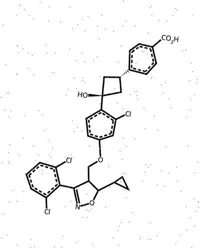 O=C(O)c1ccc([C@H]2C[C@@](O)(c3ccc(OCC4C(c5c(Cl)cccc5Cl)=NOC4C4CC4)cc3Cl)C2)cc1